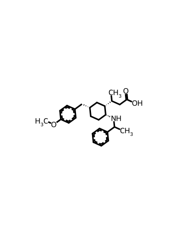 COc1ccc(C[C@H]2CC[C@@H](NC(C)c3ccccc3)[C@@H](C(C)CC(=O)O)C2)cc1